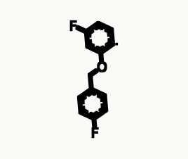 Fc1ccc(COc2[c]ccc(F)c2)cc1